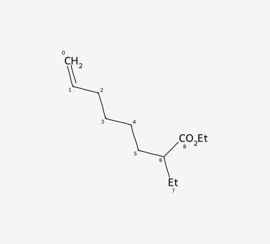 C=CCCCCC(CC)C(=O)OCC